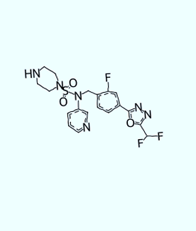 O=S(=O)(N1CCNCC1)N(Cc1ccc(-c2nnc(C(F)F)o2)cc1F)c1cccnc1